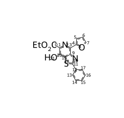 CCOC(=O)c1nc(-c2ccco2)c2nc(-c3ccccc3)sc2c1O